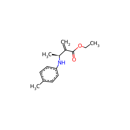 C=C(C(=O)OCC)[C@H](C)Nc1ccc(C)cc1